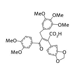 COc1ccc(C(=O)C(Cc2cc(OC)c(OC)c(OC)c2)=C(C(=O)O)c2ccc3c(c2)OCO3)cc1OC